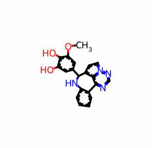 COc1cc(C2Nc3ccccc3-c3ncnn4ccc2c34)cc(O)c1O